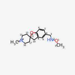 CONCc1ccc2c(c1)CC1(CCN(C)CC1)O2